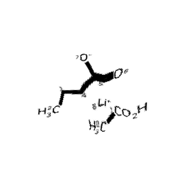 CC(=O)O.CCCC(=O)[O-].[Li+]